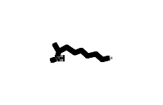 [CH2]CCCCCCC(C)NC